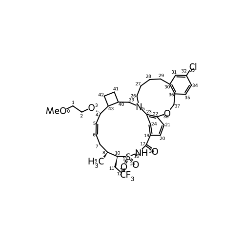 COCCO[C@H]1/C=C\C[C@H](C)[C@H](CC(F)(F)F)S(=O)(=O)NC(=O)c2ccc3c(c2)N(CCCCc2cc(Cl)ccc2CO3)CC2CCC21